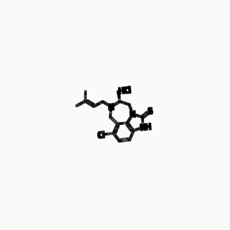 CC(C)=CCN1Cc2c(Cl)ccc3[nH]c(=S)n(c23)C[C@@H]1C.Cl